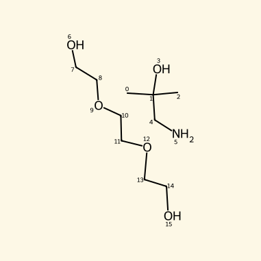 CC(C)(O)CN.OCCOCCOCCO